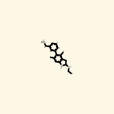 CCOC1Cc2c(cc(C)c(-c3cccc(CO)c3)c2C)O1